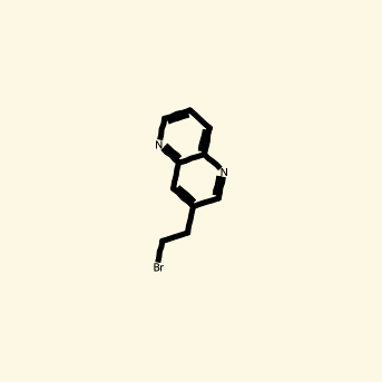 BrCCc1cnc2cccnc2c1